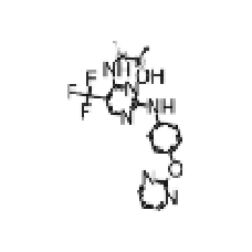 C[C@@H](O)[C@@H](C)Nc1nc(Nc2ccc(Oc3ncccn3)cc2)ncc1C(F)(F)F